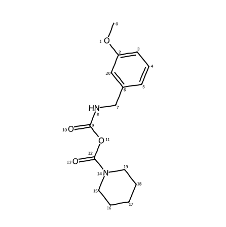 COc1cccc(CNC(=O)OC(=O)N2CCCCC2)c1